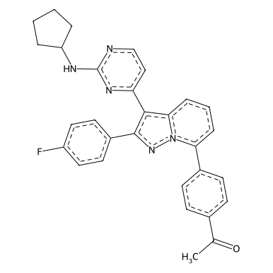 CC(=O)c1ccc(-c2cccc3c(-c4ccnc(NC5CCCC5)n4)c(-c4ccc(F)cc4)nn23)cc1